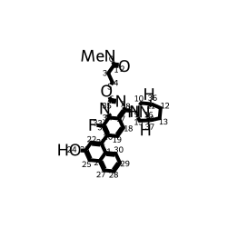 CNC(=O)CCOc1nc(N2C[C@H]3CC[C@@H](C2)N3)c2ccc(-c3cc(O)cc4ccccc34)c(F)c2n1